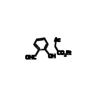 CCOC(=O)CC(C)=O.O=Cc1ccccc1O